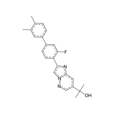 Cc1ccc(-c2ccc(-c3cn4ncc(C(C)(C)O)cc4n3)c(F)c2)cc1C